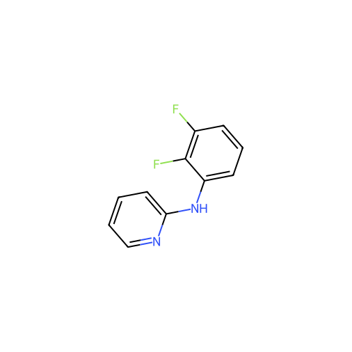 Fc1cccc(Nc2ccccn2)c1F